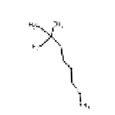 CC(C)(C)CCCCO[SiH3]